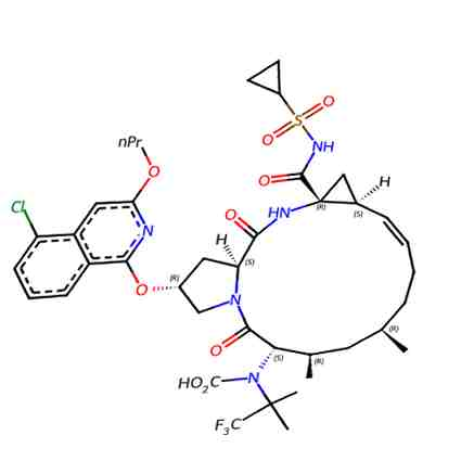 CCCOc1cc2c(Cl)cccc2c(O[C@@H]2C[C@H]3C(=O)N[C@]4(C(=O)NS(=O)(=O)C5CC5)C[C@H]4C=CCC[C@@H](C)C[C@@H](C)[C@H](N(C(=O)O)C(C)(C)C(F)(F)F)C(=O)N3C2)n1